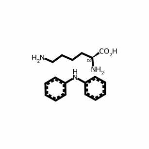 NCCCC[C@H](N)C(=O)O.c1ccc(Nc2ccccc2)cc1